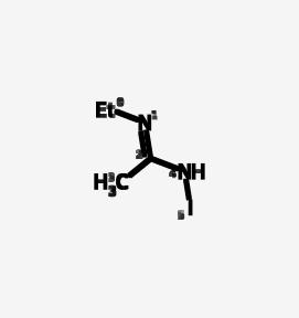 CC/N=C(\C)NI